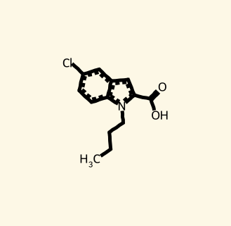 CCCCn1c(C(=O)O)cc2cc(Cl)ccc21